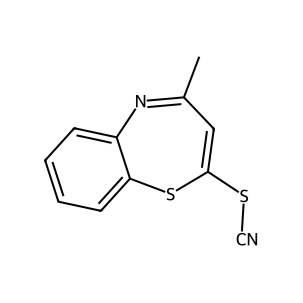 CC1=Nc2ccccc2SC(SC#N)=C1